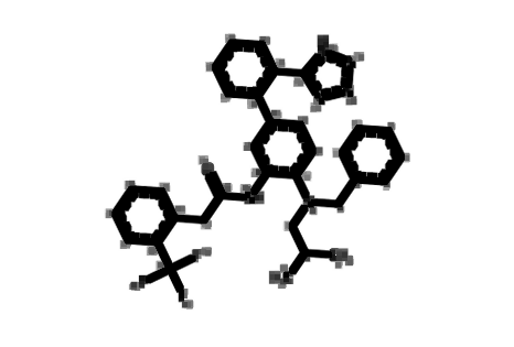 CC(C)CN(Cc1ccccc1)c1ccc(-c2ccccc2-c2nnn[nH]2)cc1NC(=O)Cc1ccccc1C(F)(F)F